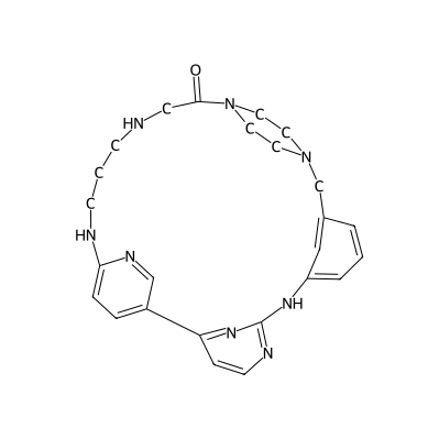 O=C1CNCCCNc2ccc(cn2)-c2ccnc(n2)Nc2cccc(c2)CN2CCN1CC2